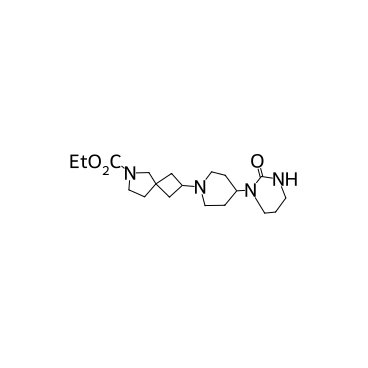 CCOC(=O)N1CCC2(CC(N3CCC(N4CCCNC4=O)CC3)C2)C1